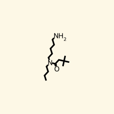 CCCCN(CCCCCN)C(=O)CC(C)(C)C